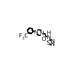 O=C(CN1CCN(c2cccc(C(F)(F)F)c2)CC1)Nc1nncs1